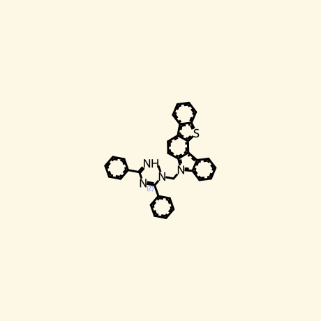 CN(Cn1c2ccccc2c2c3sc4ccccc4c3ccc21)/C(=N\C(=N)c1ccccc1)c1ccccc1